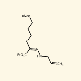 C=CCNN=C(SCCCCCCCCCCCC)C(=O)OCC